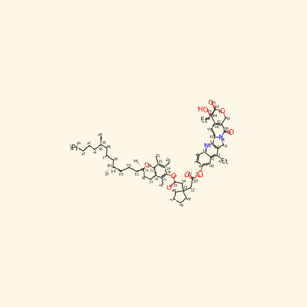 CCc1c2c(nc3ccc(OC(=O)CC4(CC(=O)Oc5c(C)c(C)c6c(c5C)CC[C@@](C)(CCC[C@H](C)CCC[C@H](C)CCCC(C)C)O6)CCCC4)cc13)-c1cc3c(c(=O)n1C2)COC(=O)[C@]3(O)CC